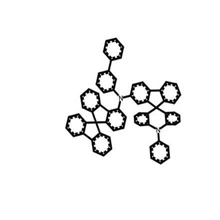 c1ccc(-c2cccc(N(c3ccc4c(c3)C3(c5ccccc5-4)c4ccccc4N(c4ccccc4)c4ccccc43)c3cccc4c3-c3ccccc3C43c4ccccc4-c4ccccc43)c2)cc1